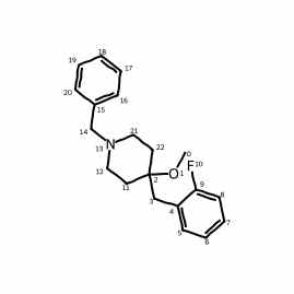 COC1(Cc2ccccc2F)CCN(Cc2ccccc2)CC1